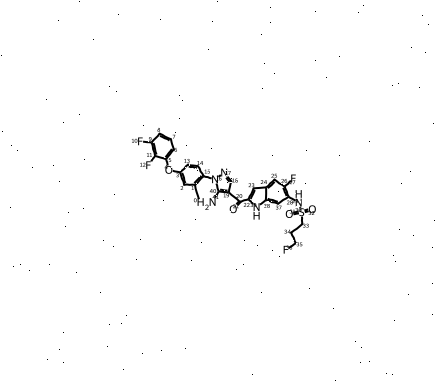 Cc1cc(Oc2cccc(F)c2F)ccc1-n1ncc(C(=O)c2cc3cc(F)c(NS(=O)(=O)CCCF)cc3[nH]2)c1N